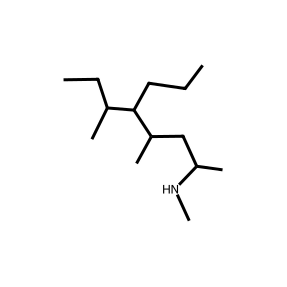 CCCC(C(C)CC)C(C)CC(C)NC